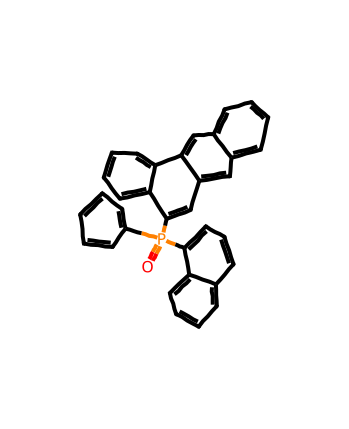 O=P(c1ccccc1)(c1cccc2ccccc12)c1cc2cc3ccccc3cc2c2ccccc12